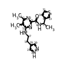 Cc1nc(C(=O)N[C@H](C)c2ccsc2)nc(NCCc2cn[nH]c2)c1C